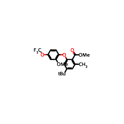 COC(=O)c1c(C)cc(C(C)(C)C)cc1Oc1ccc(OC(F)(F)F)cc1OC